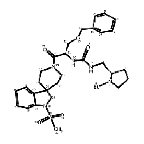 CCN1CCC[C@@H]1CNC(=O)N[C@H](COCc1ccccc1)C(=O)N1CCC2(CC1)CN(S(C)(=O)=O)c1ccccc12